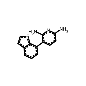 Nc1ccc(-c2cccc3ccsc23)c(N)n1